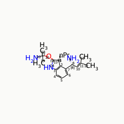 CCC[C@@H]1c2c(cccc2[C@H](N)C=C(C)C)N[C@H]1OC(C)(C)N